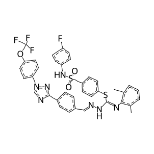 Cc1cccc(C)c1/N=C(/N/N=C/c1ccc(-c2ncn(-c3ccc(OC(F)(F)F)cc3)n2)cc1)Sc1ccc(S(=O)(=O)Nc2ccc(F)cc2)cc1